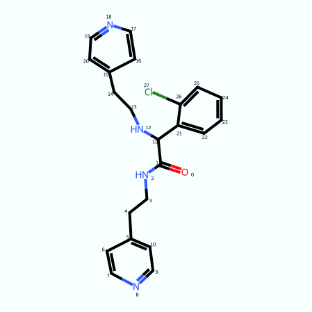 O=C(NCCc1ccncc1)C(NCCc1ccncc1)c1ccccc1Cl